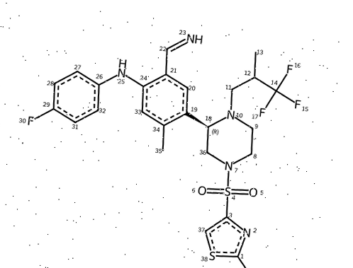 Cc1nc(S(=O)(=O)N2CCN(CC(C)C(F)(F)F)[C@H](c3cc(C=N)c(Nc4ccc(F)cc4)cc3C)C2)cs1